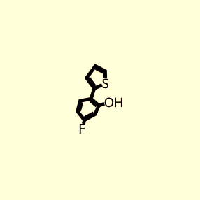 Oc1cc(F)ccc1-c1cccs1